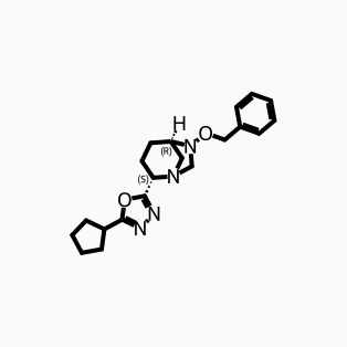 c1ccc(CON2CN3C[C@H]2CC[C@H]3c2nnc(C3CCCC3)o2)cc1